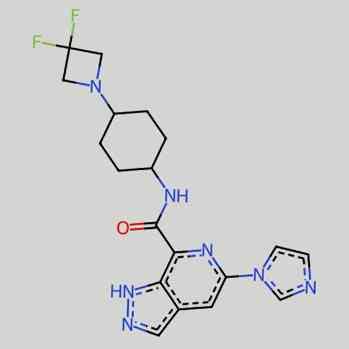 O=C(NC1CCC(N2CC(F)(F)C2)CC1)c1nc(-n2ccnc2)cc2cn[nH]c12